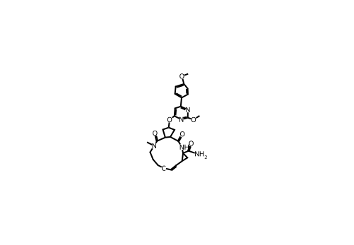 COc1ccc(-c2cc(OC3CC4C(=O)NC5(C(N)=O)CC5C=CCCCCN(C)C(=O)C4C3)nc(OC)n2)cc1